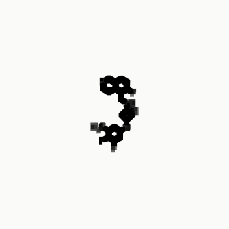 Cc1cc(OC2CC(NCc3c(F)ccc4cnccc34)C2)cc(F)c1F.Cl